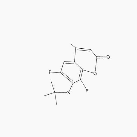 Cc1cc(=O)oc2c(F)c(SC(C)(C)C)c(F)cc12